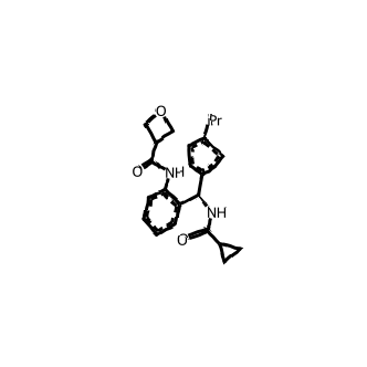 CC(C)c1ccc([C@@H](NC(=O)C2CC2)c2ccccc2NC(=O)C2COC2)cc1